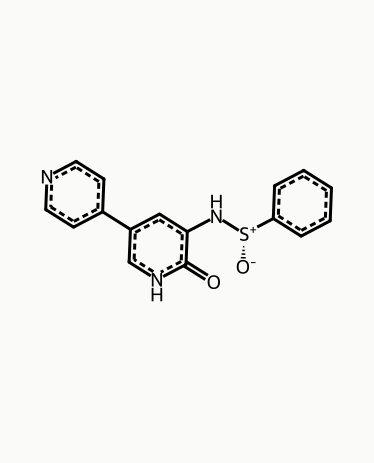 O=c1[nH]cc(-c2ccncc2)cc1N[S@@+]([O-])c1ccccc1